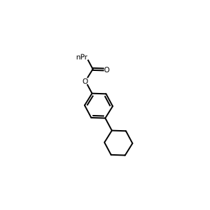 CCCC(=O)Oc1ccc(C2CCCCC2)cc1